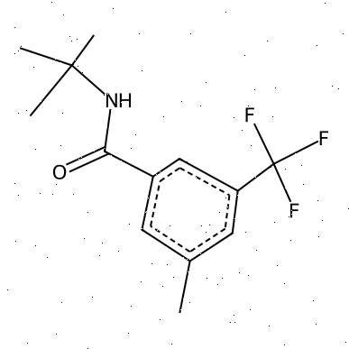 Cc1cc(C(=O)NC(C)(C)C)cc(C(F)(F)F)c1